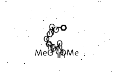 COCO[C@@]1(Cc2cc(OC3CCN(C(=O)OCc4ccccc4)CC3)ccn2)C(=O)N(COC)[C@H]1CC(C)C